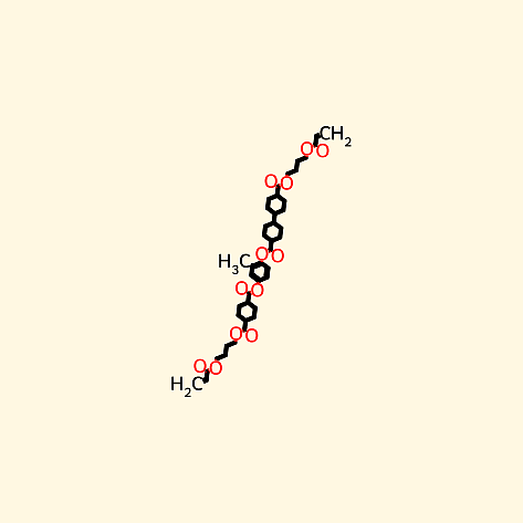 C=CC(=O)OCCCCOC(=O)C1CCC(C(=O)Oc2ccc(OC(=O)C3CCC(C4CCC(C(=O)OCCCCOC(=O)C=C)CC4)CC3)c(C)c2)CC1